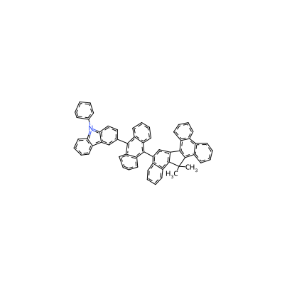 CC1(C)c2c(cc(-c3c4ccccc4c(-c4ccc5c(c4)c4ccccc4n5-c4ccccc4)c4ccccc34)c3ccccc23)-c2c1c1ccccc1c1ccccc21